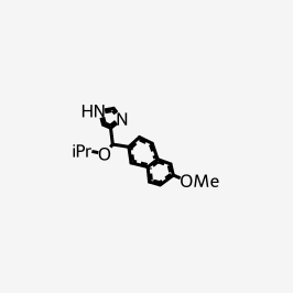 COc1ccc2cc(C(OC(C)C)c3c[nH]cn3)ccc2c1